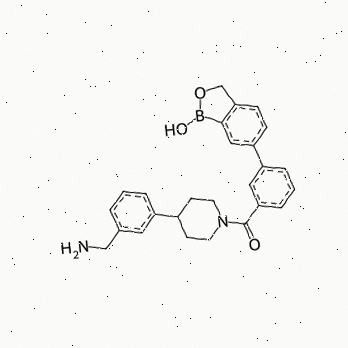 NCc1cccc(C2CCN(C(=O)c3cccc(-c4ccc5c(c4)B(O)OC5)c3)CC2)c1